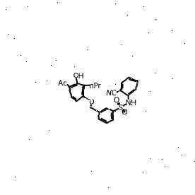 CCCc1c(OCc2cccc(S(=O)(=O)Nc3ccccc3C#N)c2)ccc(C(C)=O)c1O